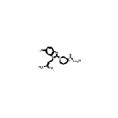 CC(C)=CCn1c(N2CCC[C@@H](NC(=O)O)C2)nc2ccc(N)cc21